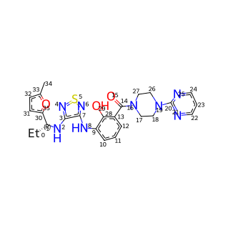 CC[C@@H](Nc1nsnc1Nc1cccc(C(=O)N2CCN(c3ncccn3)CC2)c1O)c1ccc(C)o1